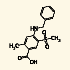 Cc1cc(NCc2ccccc2)c(S(C)(=O)=O)cc1C(=O)O